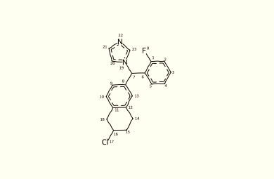 Fc1ccccc1C(c1ccc2c(c1)CCC(Cl)C2)n1ccnc1